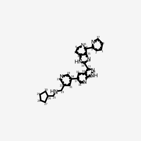 c1ccc(-c2nccc3[nH]c(-c4n[nH]c5ncc(-c6cncc(CNCC7CCCC7)c6)cc45)nc23)nc1